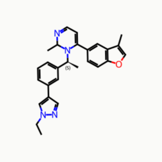 CCn1cc(-c2cccc([C@H](C)N3C(c4ccc5occ(C)c5c4)=CC=NC3C)c2)cn1